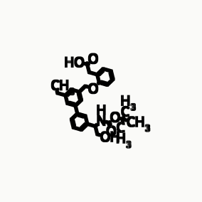 CCc1cc(COc2ccccc2CC(=O)O)cc(-c2cccc(C(CO)NC(=O)OC(C)(C)C)c2)c1